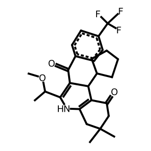 COC(C)C1=C(C(=O)c2ccc(C(F)(F)F)cc2)C(C2CCCC2)C2=C(CC(C)(C)CC2=O)N1